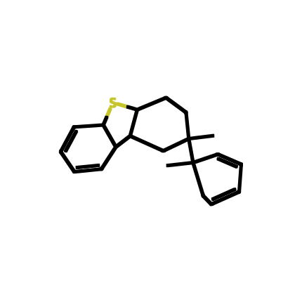 CC1(C2(C)CCC3SC4C=CC=CC4C3C2)C=CC=CC1